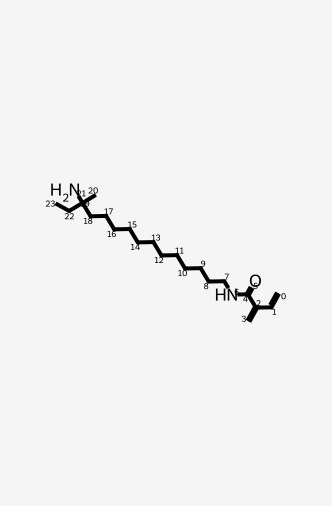 C=CC(=C)C(=O)NCCCCCCCCCCCCC(C)(N)CC